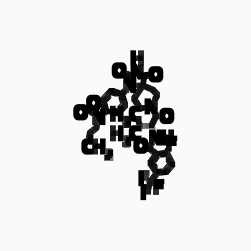 C=CCn1c(=O)oc2cc(N3C(=O)NC(=O)C34CCN(C(=O)[C@H](NC(=O)c3cc(C(F)(F)F)ccc3F)C(C)C)CC4)ccc21